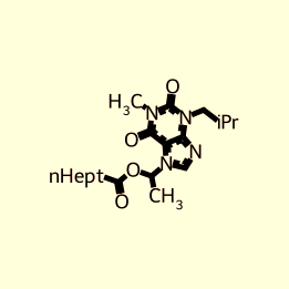 CCCCCCCC(=O)OC(C)n1cnc2c1c(=O)n(C)c(=O)n2CC(C)C